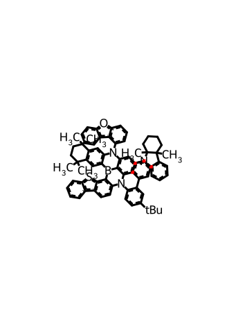 CC(C)(C)c1ccc(N2c3cc(N4c5ccccc5C5(C)CCCCC45C)cc4c3B(c3cc5c(cc3N4c3cccc4oc6ccccc6c34)C(C)(C)CCC5(C)C)c3c2ccc2c3sc3ccccc32)c(-c2ccccc2)c1